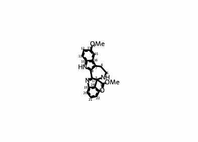 COC(=O)C12NCCc3c([nH]c4ccc(OC)cc34)C1=Nc1ccccc12